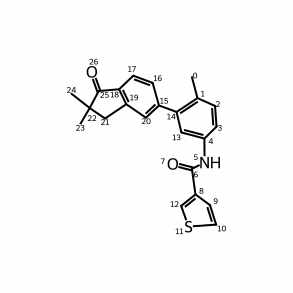 Cc1ccc(NC(=O)c2ccsc2)cc1-c1ccc2c(c1)CC(C)(C)C2=O